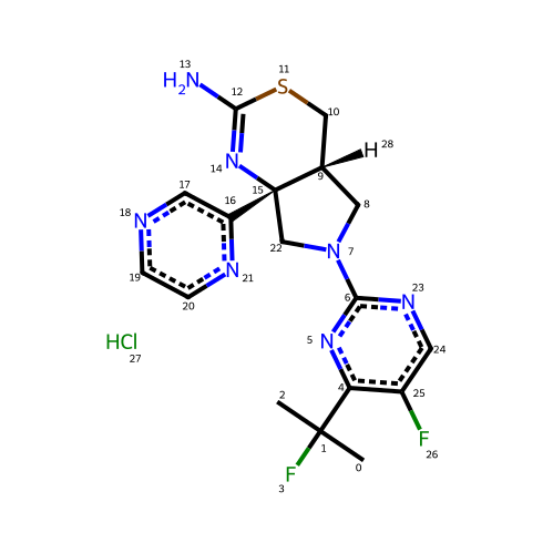 CC(C)(F)c1nc(N2C[C@H]3CSC(N)=N[C@@]3(c3cnccn3)C2)ncc1F.Cl